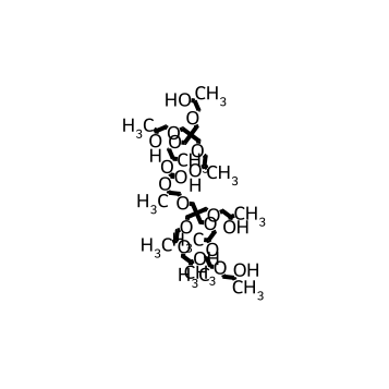 CC(O)COCC(COCC(C)O)(COCC(C)O)COCC(C)OC(=O)OC(C)COCC(COCC(C)O)(COCC(C)OCC(C)O)COCC(C)OCC(C)OCC(C)O